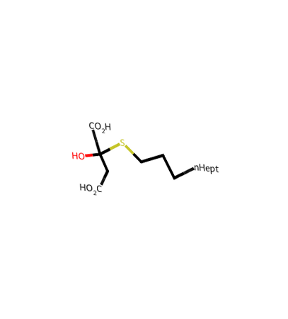 CCCCCCCCCCSC(O)(CC(=O)O)C(=O)O